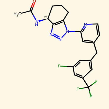 CC(=O)N[C@H]1CCCc2c1nnn2-c1cc(Cc2cc(F)cc(C(F)(F)F)c2)ccn1